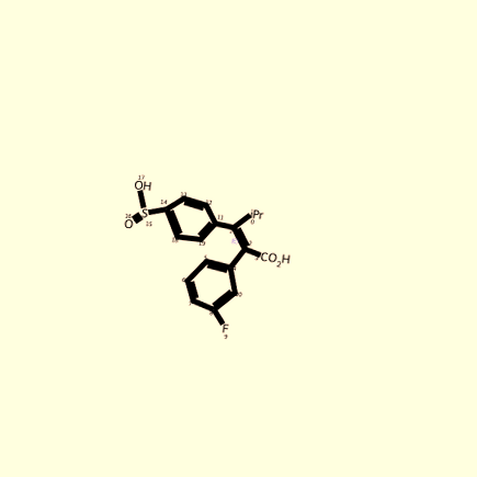 CC(C)/C(=C(\C(=O)O)c1cccc(F)c1)c1ccc(S(=O)O)cc1